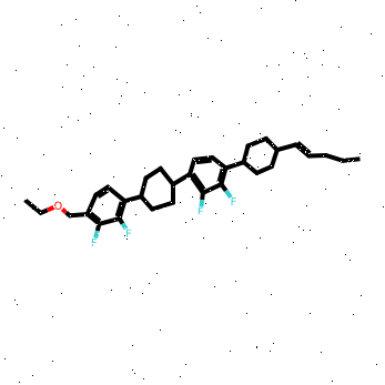 CCC/C=C/C1CCC(c2ccc(C3CCC(c4ccc(COCC)c(F)c4F)CC3)c(F)c2F)CC1